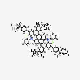 C[Si](C)(C)c1ccc(-c2cc(-c3ccc([Si](C)(C)C)cc3)c(F)c(N(c3ccccc3)c3ccc4ccc5c(N(c6ccccc6)c6cc(-c7ccc([Si](C)(C)C)cc7)cc(-c7ccc([Si](C)(C)C)cc7)c6F)ccc6ccc3c4c65)c2)cc1